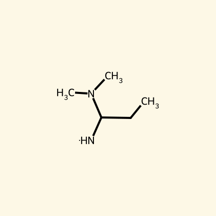 CCC([NH])N(C)C